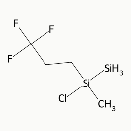 C[Si]([SiH3])(Cl)CCC(F)(F)F